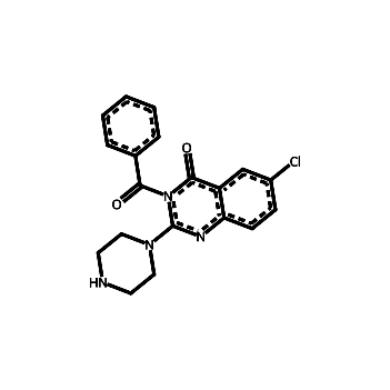 O=C(c1ccccc1)n1c(N2CCNCC2)nc2ccc(Cl)cc2c1=O